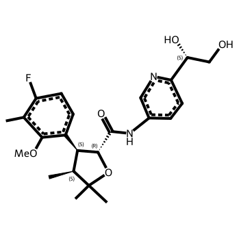 COc1c([C@H]2[C@H](C(=O)Nc3ccc([C@H](O)CO)nc3)OC(C)(C)[C@H]2C)ccc(F)c1C